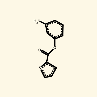 Nc1cccc(OC(=O)c2cccs2)c1